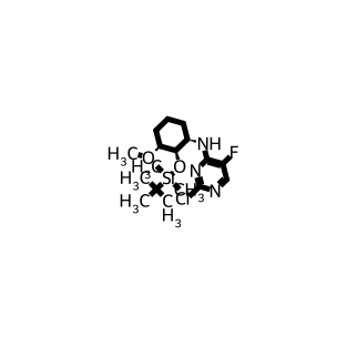 CO[C@@H]1CCC[C@H](Nc2nc(Cl)ncc2F)[C@H]1O[Si](C)(C)C(C)(C)C